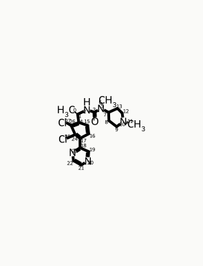 C[C@H](NC(=O)N(C)C1CCN(C)CC1)c1ccc(-c2cnccn2)c(Cl)c1Cl